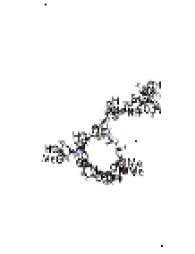 CO[C@H]1C[C@@H](C)C/C(C)=C/[C@@H](C(C)(C)CCCS(=O)(=O)NC[C@@H]2C[C@H](SC3=C(C(=O)O)N4C(=O)[C@H]([C@@H](C)O)[C@H]4[C@H]3C)CN2)C(=O)C[C@H](O)[C@@H](C)[C@@H](/C(C)=C/[C@@H]2CC[C@@H](O)[C@H](OC)C2)OC(=O)[C@@H]2CCCCN2C(=O)C(=O)[C@]2(O)O[C@H]1[C@@H](OC)C[C@H]2C